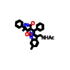 CC(=O)NCc1c(C(C2=C(O)C(C)(c3ccccc3)NC2=O)c2ccccc2)[nH]c2cc(C)ccc12